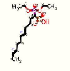 C/C=C/CC/C=C/CCCC(P(=O)(OCC)OCC)S(=O)(=O)O